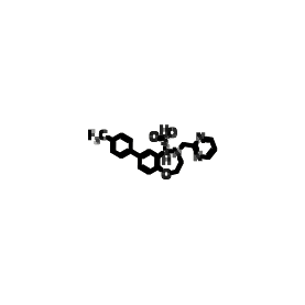 O=[SH](=O)[SH]1c2cc(-c3ccc(C(F)(F)F)cc3)ccc2OCCN1Cc1ncccn1